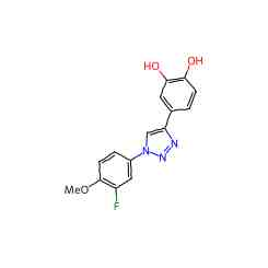 COc1ccc(-n2cc(-c3ccc(O)c(O)c3)nn2)cc1F